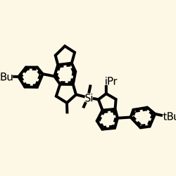 CC(C)C1Cc2c(-c3ccc(C(C)(C)C)cc3)cccc2C1[Si](C)(C)C1c2cc3c(c(-c4ccc(C(C)(C)C)cc4)c2CC1C)CCC3